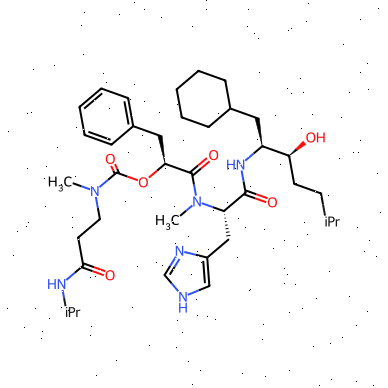 CC(C)CC[C@H](O)[C@H](CC1CCCCC1)NC(=O)[C@H](Cc1c[nH]cn1)N(C)C(=O)[C@H](Cc1ccccc1)OC(=O)N(C)CCC(=O)NC(C)C